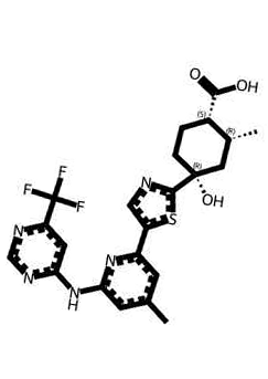 Cc1cc(Nc2cc(C(F)(F)F)ncn2)nc(-c2cnc([C@@]3(O)CC[C@H](C(=O)O)[C@H](C)C3)s2)c1